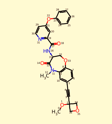 COC1(C#Cc2ccc3c(c2)N(C)C(=O)[C@@H](NC(=O)c2cc(Oc4ccccc4)ccn2)CO3)COC1